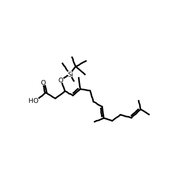 CC(C)=CCCC(C)=CCCC(C)=CC(CC(=O)O)O[Si](C)(C)C(C)(C)C